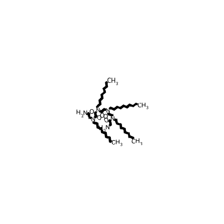 CCCCCCCCCCN(CC(N)=O)C(=O)CN(CCCCCCCCCC)C(=O)CN(CCCCCCCCCC)C(=O)CN(CCCCCCCCCC)C(=O)CN